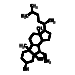 C=C[C@@H]1C2C3CC[C@H]([C@H](C)CCC(C)C)[C@@]3(C)CCC2[C@@]2(C)CC[C@H](O)C[C@@]12O